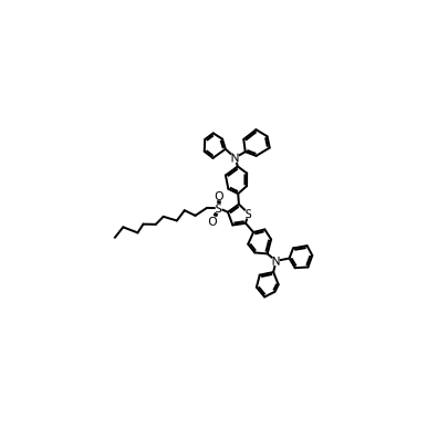 CCCCCCCCCCS(=O)(=O)c1cc(-c2ccc(N(c3ccccc3)c3ccccc3)cc2)sc1-c1ccc(N(c2ccccc2)c2ccccc2)cc1